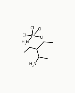 CCC(CC)C(C)N.[NH2][Pt]([Cl])([Cl])([Cl])[Cl]